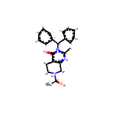 Cc1nc2c(c(=O)n1C(c1ccccc1)c1ccccc1)CCN(C(=O)C(C)(C)C)C2